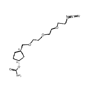 [N-]=[N+]=NCCOCCOCCOC[C@@H]1CC[C@@H](OC(N)=O)C1